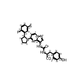 O=C(Nc1cnn2ccc(N3CCCC3c3cc(F)ccc3F)nc12)NC(Cc1ccc(O)cc1)C(=O)O